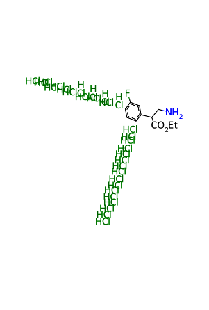 CCOC(=O)C(CN)c1cccc(F)c1.Cl.Cl.Cl.Cl.Cl.Cl.Cl.Cl.Cl.Cl.Cl.Cl.Cl.Cl.Cl.Cl.Cl.Cl.Cl.Cl.Cl.Cl.Cl.Cl.Cl.Cl.Cl.Cl.Cl.Cl